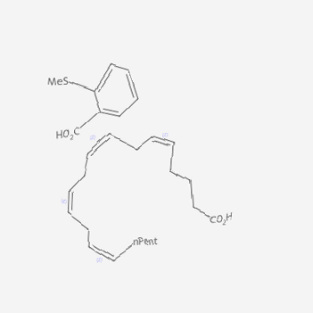 CCCCC/C=C\C/C=C\C/C=C\C/C=C\CCCC(=O)O.CSc1ccccc1C(=O)O